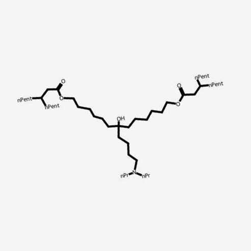 CCCCCC(CCCCC)CC(=O)OCCCCCCC(O)(CCCCCCOC(=O)CC(CCCCC)CCCCC)CCCCN(CCC)CCC